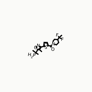 Cc1c(-c2ccc(C(=O)N3CCC(C(C)(F)F)CC3)s2)noc1C(C)(C)P